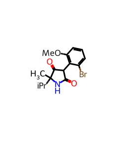 COc1cccc(Br)c1C1C(=O)NC(C)(C(C)C)C1=O